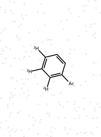 [2H]c1ccc(C(C)=O)c([2H])c1[2H]